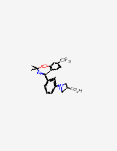 CC1(C)N=C(c2cccc(N3CC(C(=O)O)C3)c2)c2ccc(C(F)(F)F)cc2O1